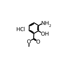 COC(=O)c1cccc(N)c1O.Cl